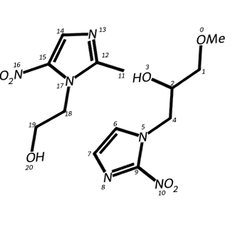 COCC(O)Cn1ccnc1[N+](=O)[O-].Cc1ncc([N+](=O)[O-])n1CCO